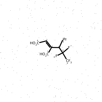 CC(C)C(C(=CC(=O)O)C(=O)O)C(F)(F)C(F)(F)F